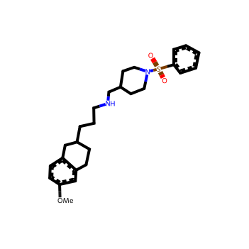 COc1ccc2c(c1)CCC(CCCNCC1CCN(S(=O)(=O)c3ccccc3)CC1)C2